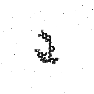 CC(C)(O)c1ccccc1CC[C@@H](SCC1(CC(=O)[O-])CC1)c1cccc(C=Cc2ccc3cc(F)c(F)cc3n2)c1.[Na+]